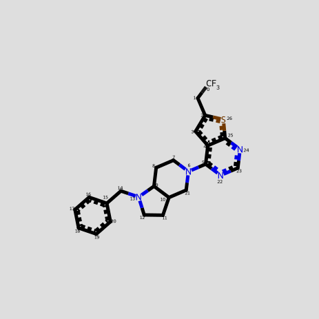 FC(F)(F)Cc1cc2c(N3CCC4C(CCN4Cc4ccccc4)C3)ncnc2s1